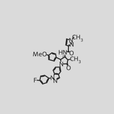 COc1ccc(C2[C@@H](NC(=O)c3ccn(C)n3)C(C)C(=O)N2c2ccc3c(cnn3-c3ccc(F)cc3)c2)cc1